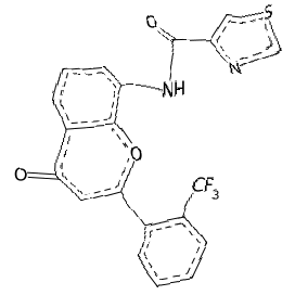 O=C(Nc1cccc2c(=O)cc(-c3ccccc3C(F)(F)F)oc12)c1cscn1